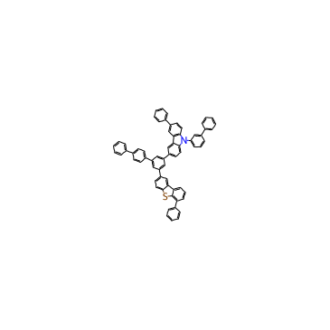 c1ccc(-c2ccc(-c3cc(-c4ccc5sc6c(-c7ccccc7)cccc6c5c4)cc(-c4ccc5c(c4)c4cc(-c6ccccc6)ccc4n5-c4cccc(-c5ccccc5)c4)c3)cc2)cc1